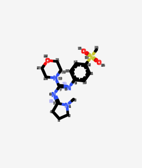 CN1CCC/C1=N/C(=N/c1ccc(S(C)(=O)=O)cc1)N1CCOCC1